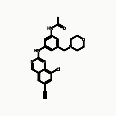 C#Cc1cc(Cl)c2nc(Nc3cc(CN4CCOCC4)cc(NC(C)=O)c3)ncc2c1